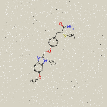 COc1ccc2nc(COc3ccc(CC(SC)C(N)=O)cc3)n(C)c2c1